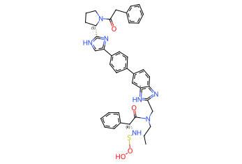 CCCN(Cc1nc2ccc(-c3ccc(-c4c[nH]c([C@@H]5CCCN5C(=O)Cc5ccccc5)n4)cc3)cc2[nH]1)C(=O)[C@H](NSOO)c1ccccc1